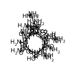 N=C(N)NCCCC(N)C(=O)NC(CCCNC(=N)N)C(=O)NC(Cc1ccc2ccccc2c1)C(=O)NC1CSSCC(C(=O)NC(CCCNC(=N)N)C(N)=O)NC(=O)C(CCCNC(N)=O)NC(=O)C(CCCNC(=N)N)NC(=O)C(Cc2ccc(O)cc2)NC(=O)C2CCCN2C(=O)C(CCCNC(N)=O)NC(=O)C(CCCCN)NC(=O)C(CCCNC(N)=O)NC(=O)C(Cc2ccc(O)cc2)NC1=O